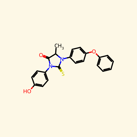 CC1C(=O)N(c2ccc(O)cc2)C(=S)N1c1ccc(Oc2ccccc2)cc1